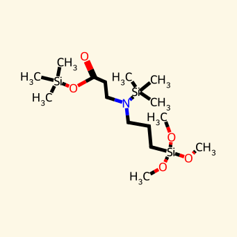 CO[Si](CCCN(CCC(=O)O[Si](C)(C)C)[Si](C)(C)C)(OC)OC